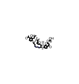 CCCc1c(OCC/C=C\C=C\[C@H](Sc2ccc3c(=O)cc(OC(=O)O)oc3c2)[C@H](O)c2ccc(C(F)(F)F)o2)ccc(C(C)=O)c1O